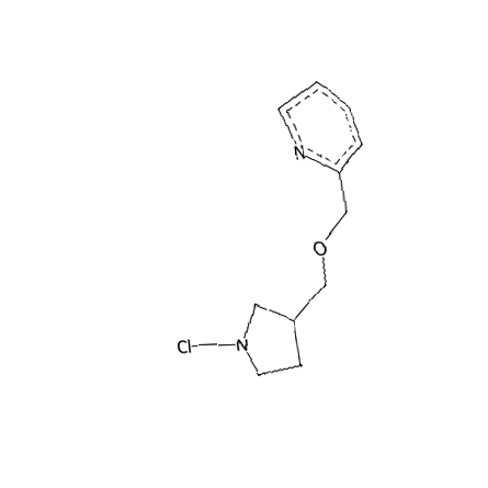 ClN1CCC(COCc2ccccn2)C1